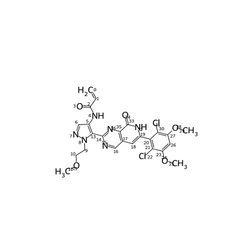 C=CC(=O)Nc1cnn(CCOC)c1-c1ncc2cc(-c3c(Cl)c(OC)cc(OC)c3Cl)[nH]c(=O)c2n1